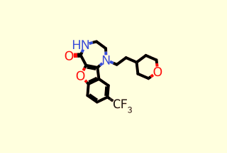 O=C1NCCN(CCC2CCOCC2)c2c1oc1ccc(C(F)(F)F)cc21